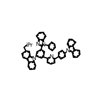 CC(C)Cc1ccc2c3ccccc3n(-c3cc(-c4cccc(-c5ccc(-n6c7ccccc7c7ccccc76)cc5)n4)cc(-c4nc5ccccc5n4-c4ccccc4)c3)c2c1